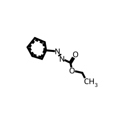 CCOC(=O)/N=N/c1ccccc1